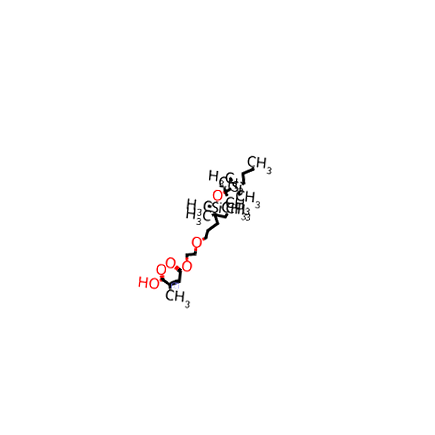 CCCC[Si](C)(C)C(C)(C)O[Si](C)(C)C(C)(CC)CCCOCCOC(=O)/C=C(/C)C(=O)O